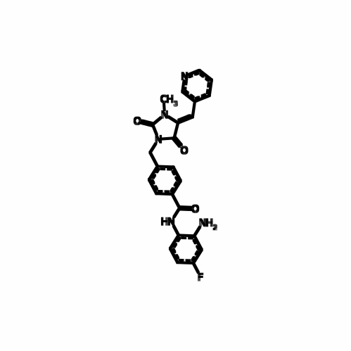 CN1C(=O)N(Cc2ccc(C(=O)Nc3ccc(F)cc3N)cc2)C(=O)/C1=C/c1cccnc1